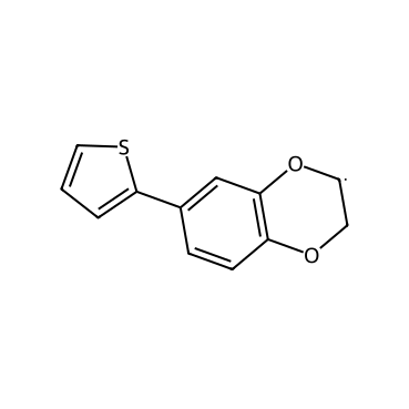 [CH]1COc2ccc(-c3cccs3)cc2O1